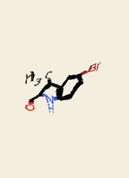 Cc1c(C=O)[nH]c2ccc(Br)cc12